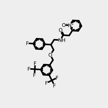 O=C(Cc1cccc[n+]1[O-])NCC(COCc1cc(C(F)(F)F)cc(C(F)(F)F)c1)c1ccc(F)cc1